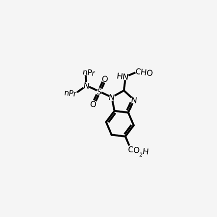 CCCN(CCC)S(=O)(=O)N1C2=CCC(C(=O)O)=CC2=NC1NC=O